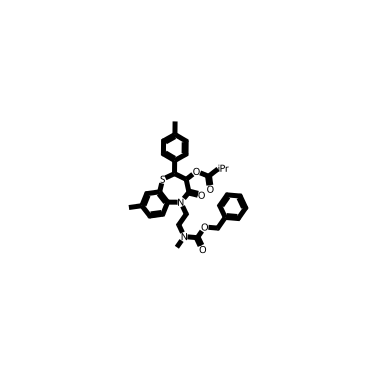 Cc1ccc(C2Sc3cc(C)ccc3N(CCN(C)C(=O)OCc3ccccc3)C(=O)C2OC(=O)C(C)C)cc1